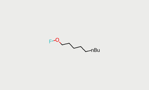 CCCCCCCCCOF